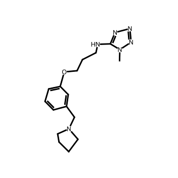 Cn1nnnc1NCCCOc1cccc(CN2CCCC2)c1